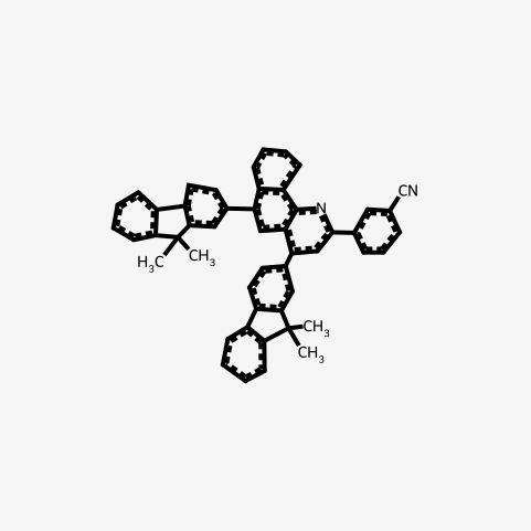 CC1(C)c2ccccc2-c2ccc(-c3cc4c(-c5ccc6c(c5)C(C)(C)c5ccccc5-6)cc(-c5cccc(C#N)c5)nc4c4ccccc34)cc21